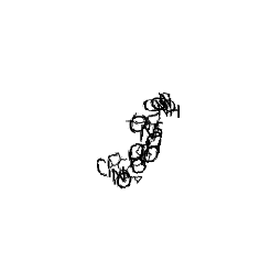 Cc1cccc(Cl)c1-c1noc(C2CC2)c1CO[C@@H]1CO[C@H]2[C@@H]1OC[C@H]2Oc1nc2c(OC(C)C)cc(C(=O)NS(=O)(=O)N3CCCC3)cc2s1